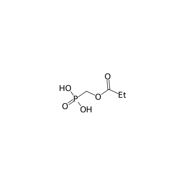 CCC(=O)OCP(=O)(O)O